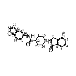 Cc1cccc2c1CN(C1CCC(C(=O)Nc3ccc4oncc4c3)CC1)C2=O